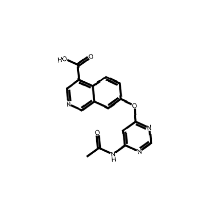 CC(=O)Nc1cc(Oc2ccc3c(C(=O)O)cncc3c2)ncn1